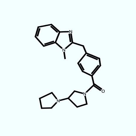 Cn1c(Cc2ccc(C(=O)N3CCC(N4CCCC4)C3)cc2)nc2ccccc21